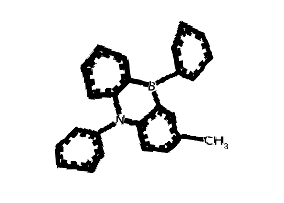 Cc1ccc2c(c1)B(c1ccccc1)c1ccccc1N2c1ccccc1